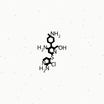 CC1(N)CCC(c2c(N)cc(Sc3ccnc(N)c3Cl)nc2CO)CC1